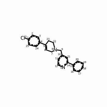 Clc1ccc(C2=CCN(Cc3ccnc(-c4ccccc4)c3)CC2)cc1